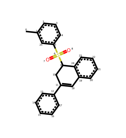 Cc1cccc(S(=O)(=O)C2CC(c3ccccc3)=Cc3ccccc32)c1